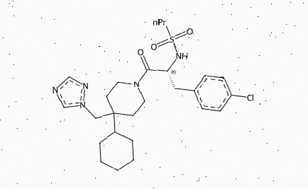 CCCS(=O)(=O)N[C@H](Cc1ccc(Cl)cc1)C(=O)N1CCC(Cn2cncn2)(C2CCCCC2)CC1